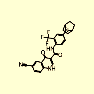 N#Cc1ccc2[nH]cc(C(=O)Nc3ccc(N4C5CCC4CC5)cc3C(F)(F)F)c(=O)c2c1